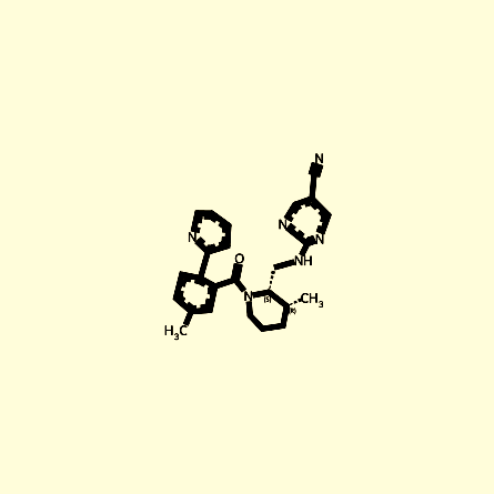 Cc1ccc(-c2ccccn2)c(C(=O)N2CCC[C@@H](C)[C@H]2CNc2ncc(C#N)cn2)c1